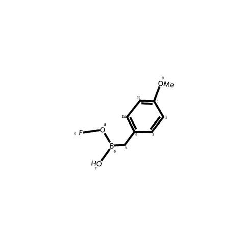 COc1ccc(CB(O)OF)cc1